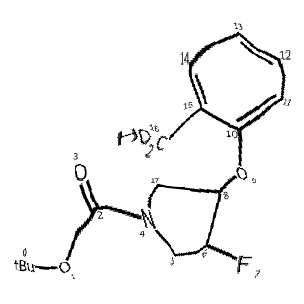 CC(C)(C)OC(=O)N1CC(F)C(Oc2ccccc2C(=O)O)C1